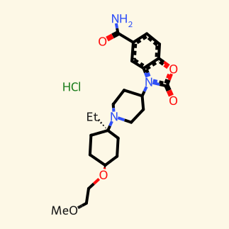 CC[C@]1(N2CCC(n3c(=O)oc4ccc(C(N)=O)cc43)CC2)CC[C@H](OCCOC)CC1.Cl